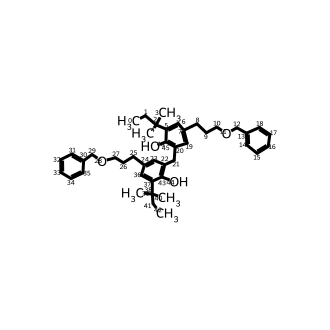 CCC(C)(C)c1cc(CCCOCc2ccccc2)cc(Cc2cc(CCCOCc3ccccc3)cc(C(C)(C)CC)c2O)c1O